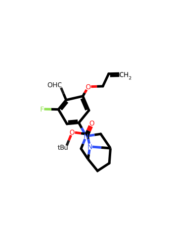 C=CCOc1cc(N2CC3CCC(C2)N3C(=O)OC(C)(C)C)cc(F)c1C=O